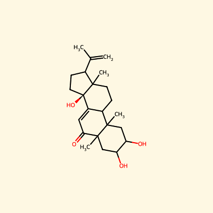 C=C(C)C1CC[C@@]2(O)C3=CC(=O)C4(C)CC(O)C(O)CC4(C)C3CCC12C